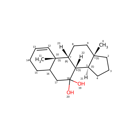 C[C@@]12CCC[C@H]1[C@H]1[C@@H](CC2)[C@@]2(C)C=CCCC2CC1(O)O